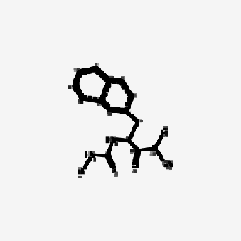 CCNC(=S)NC(Cc1ccc2ccccc2c1)C(=O)N(C#N)CC